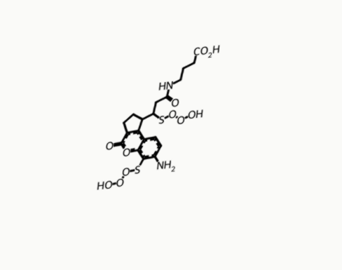 Nc1ccc2c3c(c(=O)oc2c1SOOO)CCC3C(CC(=O)NCCCC(=O)O)SOOO